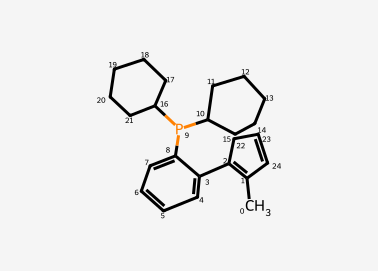 CC1=C(c2ccccc2P(C2CCCCC2)C2CCCCC2)CC=C1